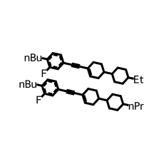 CCCCc1ccc(C#CC2=CCC(C3CCC(CC)CC3)CC2)cc1F.CCCCc1ccc(C#CC2=CCC(C3CCC(CCC)CC3)CC2)cc1F